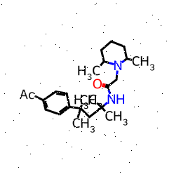 CC(=O)c1ccc(C(C)(C)CC(C)(C)NC(=O)CN2C(C)CCCC2C)cc1